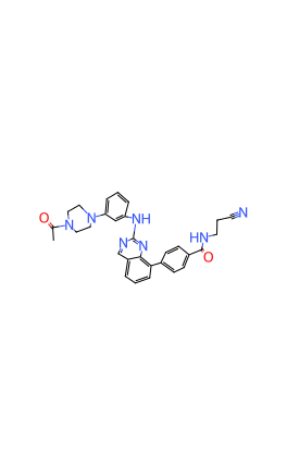 CC(=O)N1CCN(c2cccc(Nc3ncc4cccc(-c5ccc(C(=O)NCCC#N)cc5)c4n3)c2)CC1